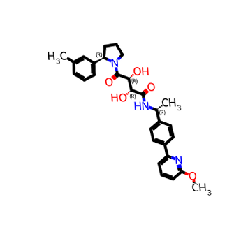 COc1cccc(-c2ccc([C@@H](C)NC(=O)[C@H](O)[C@@H](O)C(=O)N3CCC[C@@H]3c3cccc(C)c3)cc2)n1